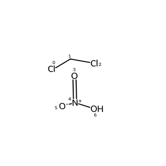 ClCCl.O=[N+]([O-])O